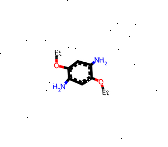 CCOc1cc(N)c(OCC)cc1N